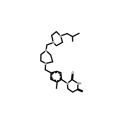 C=C1CCN(c2ccc(CN3CCN(CN4CCN(CC(C)C)CC4)CC3)cc2C)C(=O)N1